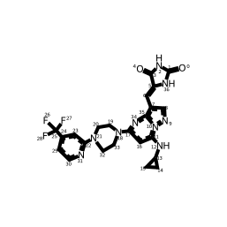 O=C1NC(=O)/C(=C/c2cnn3c(NC4CC4)cc(N4CCN(c5cc(C(F)(F)F)ccn5)CC4)nc23)N1